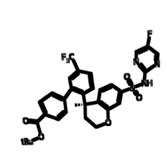 CC(C)(C)OC(=O)c1ccc(-c2cc(C(F)(F)F)ccc2[C@]2(C)CCOc3cc(S(=O)(=O)Nc4ncc(F)cn4)ccc32)cc1